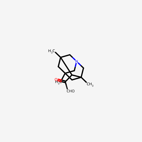 CC12CN3CC(C)(C1)C(C(=O)C=O)C(C)(C3)C2